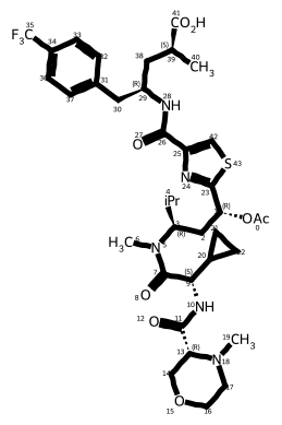 CC(=O)O[C@H](C[C@H](C(C)C)N(C)C(=O)[C@@H](NC(=O)[C@H]1COCCN1C)C1CC1)c1nc(C(=O)N[C@@H](Cc2ccc(C(F)(F)F)cc2)C[C@H](C)C(=O)O)cs1